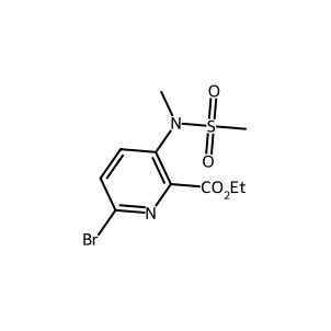 CCOC(=O)c1nc(Br)ccc1N(C)S(C)(=O)=O